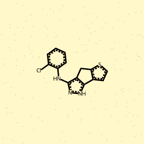 Clc1ccccc1Nc1n[nH]c2c1Cc1sccc1-2